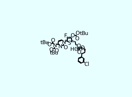 CC(C)(C)OC(=O)O[C@H]1[C@H](F)[C@H](n2ccc(N(C(=O)OC(C)(C)C)C(=O)OC(C)(C)C)nc2=O)S[C@@H]1CCO[PH]1(O)OCCC(c2cccc(Cl)c2)O1